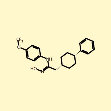 O/N=C(/C[C@H]1CC[C@@H](c2ccccc2)CC1)Nc1ccc(OC(F)(F)F)cc1